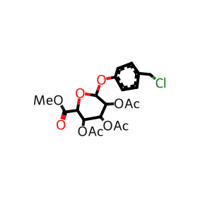 COC(=O)C1OC(Oc2ccc(CCl)cc2)C(OC(C)=O)C(OC(C)=O)C1OC(C)=O